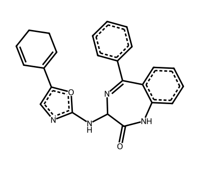 O=C1Nc2ccccc2C(c2ccccc2)=NC1Nc1ncc(C2=CCCC=C2)o1